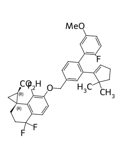 COc1ccc(F)c(-c2ccc(COc3ccc4c(c3F)[C@]3(CCC4(F)F)C[C@H]3C(=O)O)cc2C2=CCCC2(C)C)c1